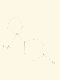 CC(=O)N1CCC([N+]2(C)CCCC2)CC1